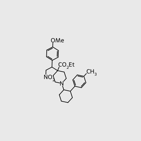 CCOC(=O)C1(C(C[N+](=O)[O-])c2ccc(OC)cc2)CCN(C2CCCCC2c2ccc(C)cc2)CC1